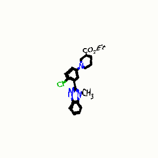 CCOC(=O)[C@@H]1CCCN(c2ccc(Cl)c(-c3nc4ccccc4n3C)c2)C1